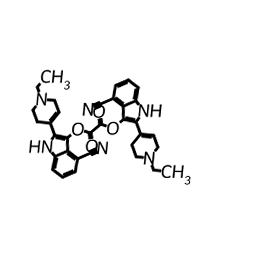 CCN1CC=C(c2[nH]c3cccc(C#N)c3c2OC(=O)C(=O)Oc2c(C3=CCN(CC)CC3)[nH]c3cccc(C#N)c23)CC1